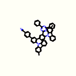 Cc1ccc2c(c1)c1ccccc1n2-c1ccc(-c2ccc(C#N)cc2)cc1-c1ccc(-n2c3ccccc3c3cc(C)ccc32)c(-c2nc(-c3ccccc3)nc(-c3ccccc3)n2)c1